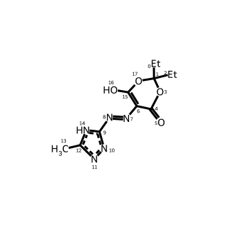 CCC1(CC)OC(=O)C(N=Nc2nnc(C)[nH]2)=C(O)O1